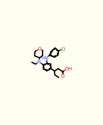 CCC(CC(=O)O)c1ccc(N(CC)C2CCOCC2)c(Nc2ccc(Cl)cc2)c1